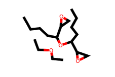 CCCCC(OC(CCCC)C1CO1)C1CO1.CCOCC